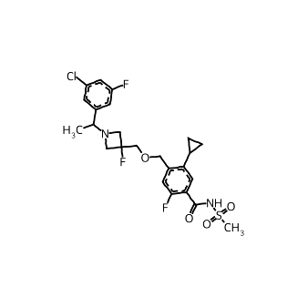 CC(c1cc(F)cc(Cl)c1)N1CC(F)(COCc2cc(F)c(C(=O)NS(C)(=O)=O)cc2C2CC2)C1